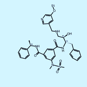 CCOc1cncc(CNC[C@@H](O)[C@H](Cc2ccccc2)NC(=O)c2cc(C(=O)N[C@H](C)c3ccccc3)cc(N(C)S(C)(=O)=O)c2)c1